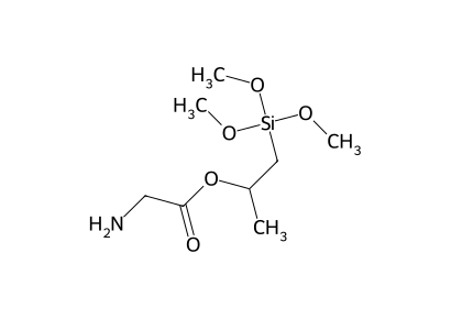 CO[Si](CC(C)OC(=O)CN)(OC)OC